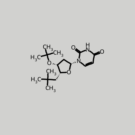 CC(C)(C)C[C@H]1O[C@@H](n2ccc(=O)[nH]c2=O)C[C@H]1OC(C)(C)C